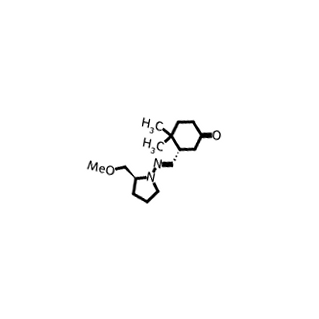 COC[C@@H]1CCCN1N=C[C@H]1CC(=O)CCC1(C)C